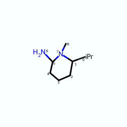 CC(C)C1CCCC(N)N1C